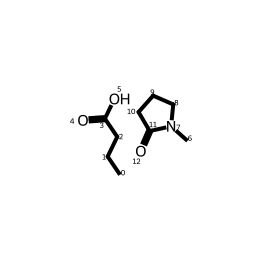 CCCC(=O)O.CN1CCCC1=O